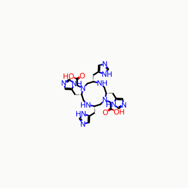 O=C(O)CN1C[C@H](Cc2cnc[nH]2)NC[C@H](Cc2cnc[nH]2)N(CC(=O)O)C[C@H](Cc2cnc[nH]2)NC[C@@H]1Cc1cnc[nH]1